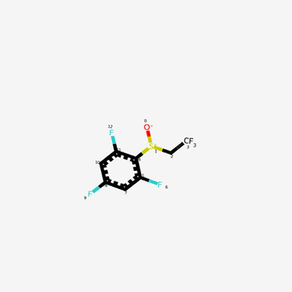 [O-][S+](CC(F)(F)F)c1c(F)cc(F)cc1F